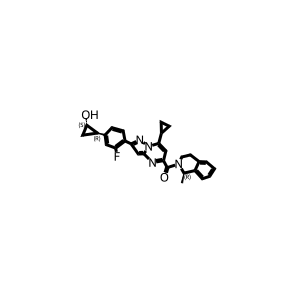 C[C@@H]1c2ccccc2CCN1C(=O)c1cc(C2CC2)n2nc(-c3ccc([C@H]4C[C@@H]4O)cc3F)cc2n1